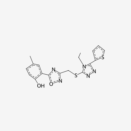 CCn1c(SCc2noc(-c3cc(C)ccc3O)n2)nnc1-c1cccs1